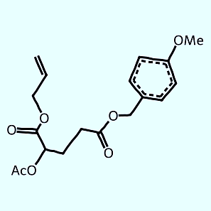 C=CCOC(=O)C(CCC(=O)OCc1ccc(OC)cc1)OC(C)=O